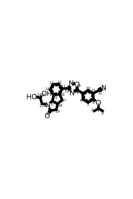 CC(C)Oc1ccc(-c2nc(-c3cccc4c3CC3CC(=O)N(CC(O)O)C43)no2)cc1C#N